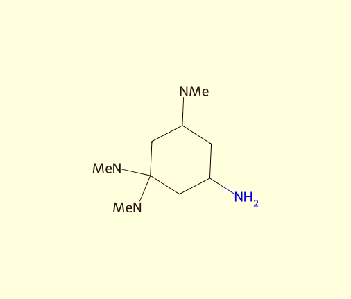 CNC1CC(N)CC(NC)(NC)C1